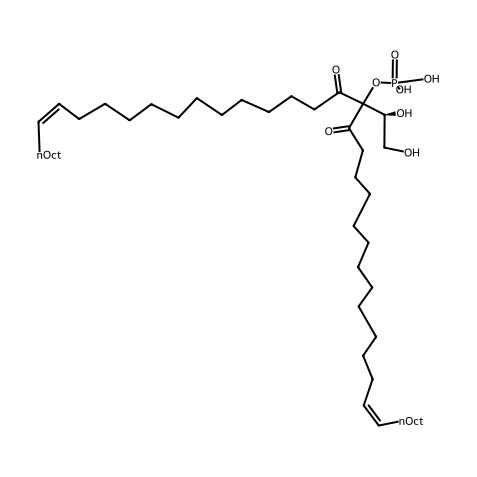 CCCCCCCC/C=C\CCCCCCCCCCCC(=O)C(OP(=O)(O)O)(C(=O)CCCCCCCCCCC/C=C\CCCCCCCC)[C@@H](O)CO